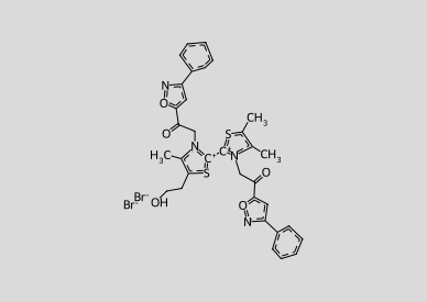 Cc1s[c+](-[c+]2sc(CCO)c(C)n2CC(=O)c2cc(-c3ccccc3)no2)n(CC(=O)c2cc(-c3ccccc3)no2)c1C.[Br-].[Br-]